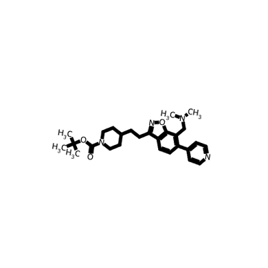 CN(C)Cc1c(-c2ccncc2)ccc2c(CCC3CCN(C(=O)OC(C)(C)C)CC3)noc12